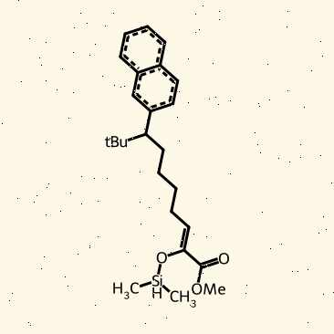 COC(=O)C(=CCCCCC(c1ccc2ccccc2c1)C(C)(C)C)O[SiH](C)C